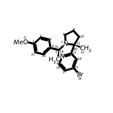 COc1ccc([C@H](C)N2CCC[C@]2(C)c2cc(Br)ccn2)cc1